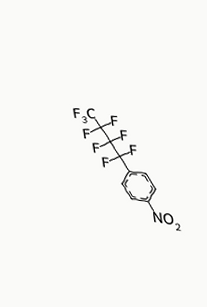 O=[N+]([O-])c1ccc(C(F)(F)C(F)(F)C(F)(F)C(F)(F)F)cc1